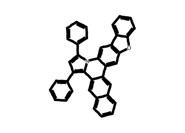 c1ccc(-c2cc(-c3ccccc3)n3c4cc5c(cc4c4cc6ccccc6cc4c23)oc2ccccc25)cc1